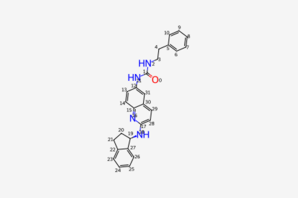 O=C(NCCc1ccccc1)Nc1ccc2nc(N[C@@H]3CCc4ccccc43)ccc2c1